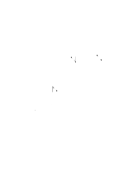 C=C(C)c1ccc(C2=NCN=C2)[nH]1